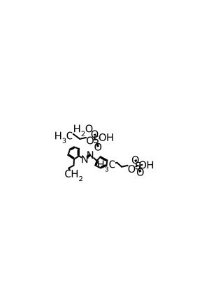 C=CCc1ccccc1N=Nc1ccccc1.CCCCOS(=O)(=O)O.CCCCOS(=O)(=O)O.O